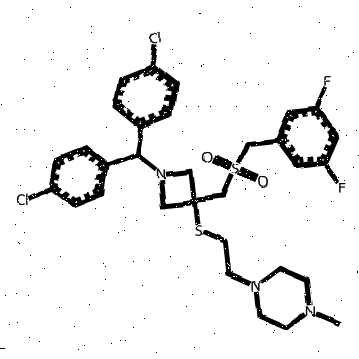 CN1CCN(CCSC2(CS(=O)(=O)Cc3cc(F)cc(F)c3)CN(C(c3ccc(Cl)cc3)c3ccc(Cl)cc3)C2)CC1